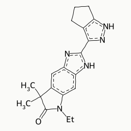 CCN1C(=O)C(C)(C)c2cc3nc(-c4n[nH]c5c4CCC5)[nH]c3cc21